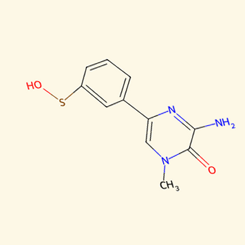 Cn1cc(-c2cccc(SO)c2)nc(N)c1=O